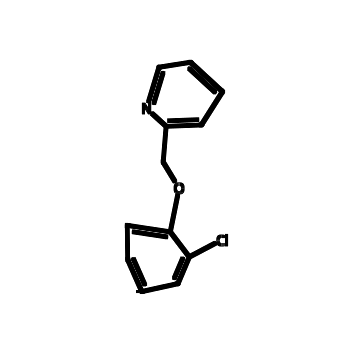 Clc1c[c]ccc1OCc1ccccn1